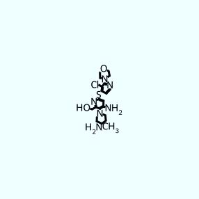 CC1(N)CCN(c2c(N)cc(Sc3ccnc(N4CCOCC4)c3Cl)nc2CO)CC1